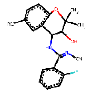 CC1(C)Oc2ccc(C#N)cc2C(NC(=NC#N)c2ccccc2F)C1O